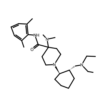 CCN(CC)C[C@@H]1CCCC[C@H]1N1CCC(C(=O)Nc2c(C)cccc2C)(N(C)C)CC1